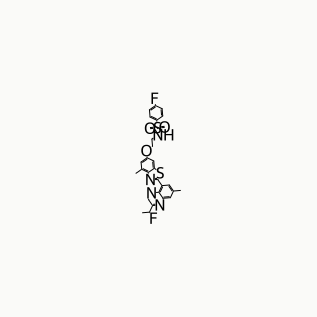 Cc1cc(-c2nc3c(C)cc(OCCNS(=O)(=O)c4ccc(F)cc4)cc3s2)c2ncc(C(C)F)nc2c1